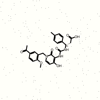 COc1ccc(C(C)=O)cc1Cn1ccc(O)c(NC(=O)N[C@@H](CC(=O)O)c2ccc(C)cc2)c1=O